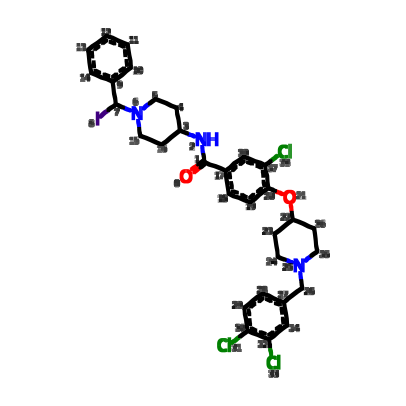 O=C(NC1CCN(C(I)c2ccccc2)CC1)c1ccc(OC2CCN(Cc3ccc(Cl)c(Cl)c3)CC2)c(Cl)c1